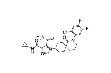 NC(=O)c1c(C(=O)NC2CC2)ncn1C1CCC2(CCCN(c3cc(F)c(F)cc3Cl)C2=O)CC1